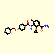 Cc1ccc(C(N)=O)c(C2CC2)c1NC(=O)c1ccc(OCc2ccccn2)cc1